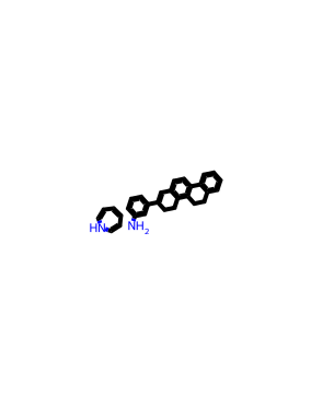 C1=CC=CNC=C1.Nc1cccc(C2=Cc3ccc4c(c3CC2)CCc2ccccc2-4)c1